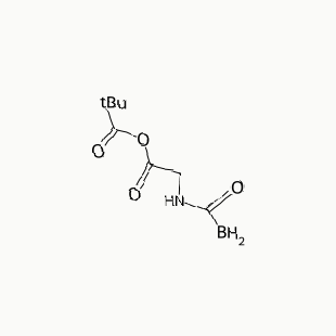 BC(=O)NCC(=O)OC(=O)C(C)(C)C